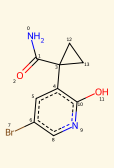 NC(=O)C1(c2cc(Br)cnc2O)CC1